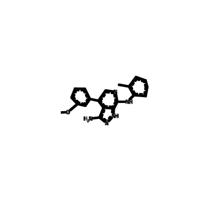 COc1cccc(-c2cnc(Nc3ccccc3C)c3[nH]nc(N)c23)c1